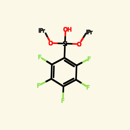 CC(C)O[Si](O)(OC(C)C)c1c(F)c(F)c(F)c(F)c1F